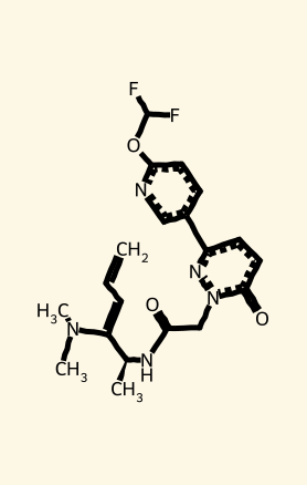 C=C/C=C(/[C@H](C)NC(=O)Cn1nc(-c2ccc(OC(F)F)nc2)ccc1=O)N(C)C